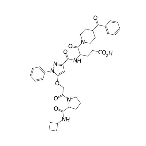 O=C(O)CCC(NC(=O)c1cc(OCC(=O)N2CCCC2C(=O)NC2CCC2)n(-c2ccccc2)n1)C(=O)N1CCC(C(=O)c2ccccc2)CC1